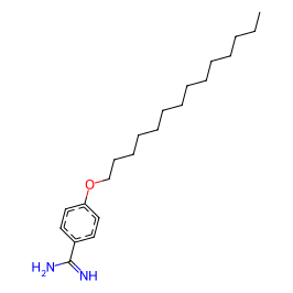 CCCCCCCCCCCCCCOc1ccc(C(=N)N)cc1